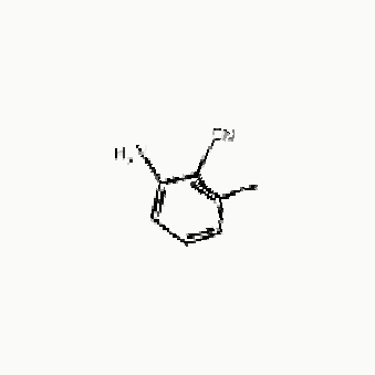 Cc1cccc(N)c1C#N